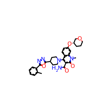 Cc1ccccc1-c1nnc(C2CCN(c3c(C(N)=O)c(=O)n(C)c4cc(O[C@H]5CCCOC5)ccc34)CC2)o1